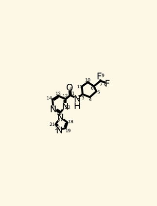 O=C(NC1CCC(C(F)F)CC1)c1ccnc(-n2ccnc2)n1